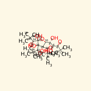 CC(C)(C)C(=O)C(O)[C@@H](O)[C@@H]1O[C@@](O)(C(=O)C(C)(C)C)[C@@](O)(C(=O)C(C)(C)C)[C@]1(O)C(=O)C(C)(C)C